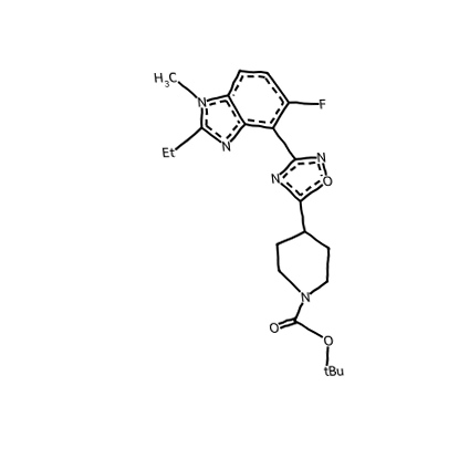 CCc1nc2c(-c3noc(C4CCN(C(=O)OC(C)(C)C)CC4)n3)c(F)ccc2n1C